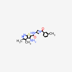 Cc1cccc(C(=O)N2CC(NC(=O)c3sc4nnc(C)c(C)c4c3N)C2)c1